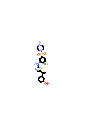 C=C(c1cccc(O)c1)c1cnc(Nc2cccc(S(=O)(=O)N3CCNCC3)c2)s1.Cl